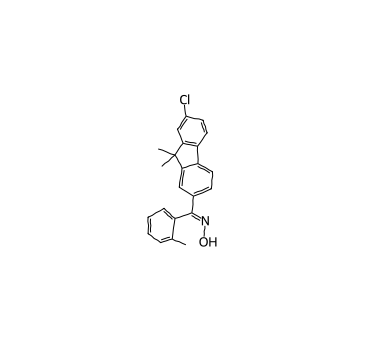 Cc1ccccc1C(=NO)c1ccc2c(c1)C(C)(C)c1cc(Cl)ccc1-2